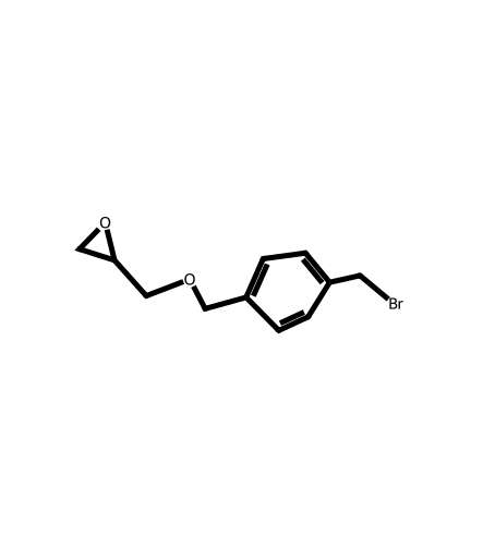 BrCc1ccc(COCC2CO2)cc1